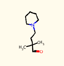 CC(C)(C=O)CCN1CCCCC1